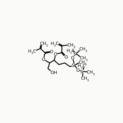 C=C(C)C(=O)OC(CO)C(CCC[Si](C)(O[Si](C)(C)C)O[Si](C)(C)C)OC(=O)C(=C)C